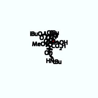 COC(=O)C(C)(CC(CC(CC(C)(CC(C(=O)OCC(C)C)C(C)C(=O)OCC(C)C)C(=O)OCCCO)N1CCCC1=O)C(=O)O)CC(C)(C)C(=O)OCCNC(C)(C)C